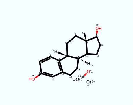 C[C@]12CC[C@H]3c4ccc(O)cc4CC[C@@H]3C1CC[C@@H]2O.O=C([O-])[O-].[Ca+2]